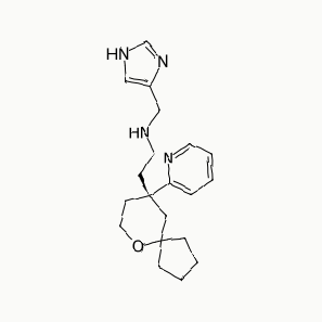 c1ccc([C@@]2(CCNCc3c[nH]cn3)CCOC3(CCCC3)C2)nc1